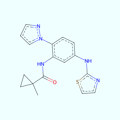 CC1(C(=O)Nc2cc(Nc3nccs3)ccc2-n2cccn2)CC1